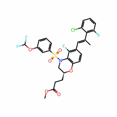 COC(=O)CC[C@H]1CN(S(=O)(=O)c2cccc(OC(F)F)c2)c2c(ccc(/C=C(\C)c3c(F)cccc3Cl)c2F)O1